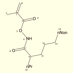 C=C(C)C(=O)ONC(=O)C(CCC)CCCCCCCCCCCC